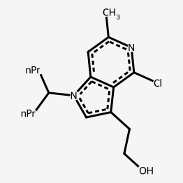 CCCC(CCC)n1cc(CCO)c2c(Cl)nc(C)cc21